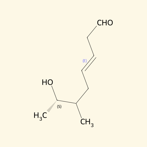 CC(C/C=C/CC=O)[C@H](C)O